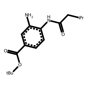 CC(C)CC(=O)Nc1ccc(C(=O)OC(C)(C)C)cc1N